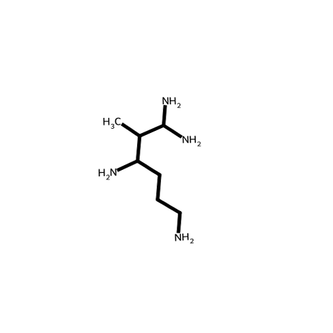 CC(C(N)N)C(N)CCCN